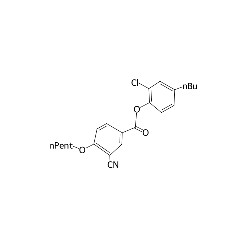 CCCCCOc1ccc(C(=O)Oc2ccc(CCCC)cc2Cl)cc1C#N